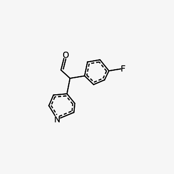 O=CC(c1ccncc1)c1ccc(F)cc1